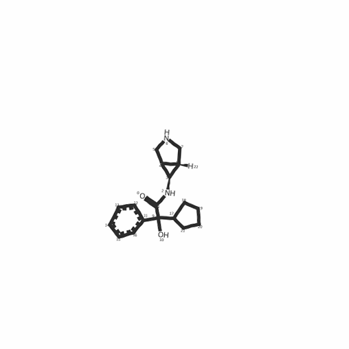 O=C(N[C@H]1C2CNC[C@@H]21)C(O)(c1ccccc1)C1CCCC1